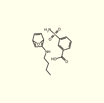 CCCCNc1cc2ccc1o2.NS(=O)(=O)c1cccc(C(=O)O)c1